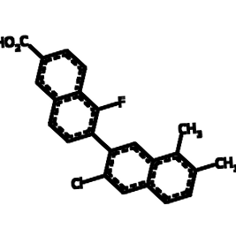 Cc1ccc2cc(Cl)c(-c3ccc4cc(C(=O)O)ccc4c3F)cc2c1C